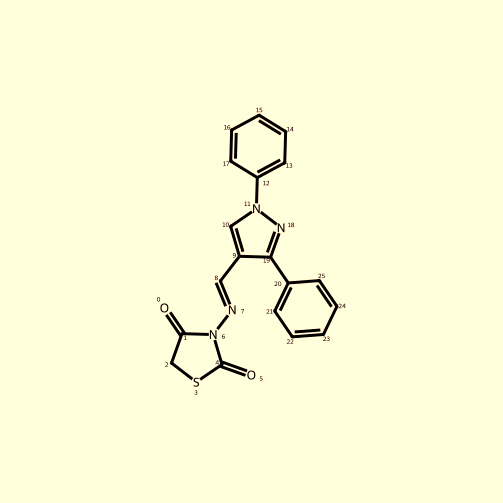 O=C1CSC(=O)N1/N=C/c1cn(-c2ccccc2)nc1-c1ccccc1